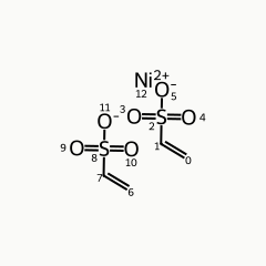 C=CS(=O)(=O)[O-].C=CS(=O)(=O)[O-].[Ni+2]